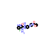 Nc1c(-c2nc3ccc(N4CCN(C(=O)c5ccco5)CC4)cc3[nH]2)c(=O)[nH]c2cccc(F)c12